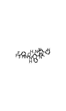 Cc1nc(-c2ccc(NC(=O)Nc3cccc(C(F)(F)F)c3)c3ccccc23)c2c(N)ncc(-c3cccnc3)n12